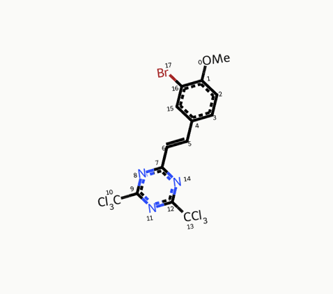 COc1ccc(C=Cc2nc(C(Cl)(Cl)Cl)nc(C(Cl)(Cl)Cl)n2)cc1Br